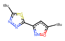 CC(C)(C)c1cc(-c2nnc(C(C)(C)C)s2)no1